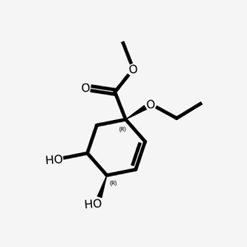 CCO[C@@]1(C(=O)OC)C=C[C@@H](O)C(O)C1